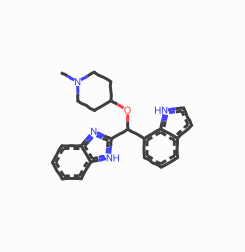 CN1CCC(OC(c2nc3ccccc3[nH]2)c2cccc3cc[nH]c23)CC1